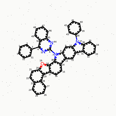 c1ccc(-c2nc(-n3c4cc5c(cc4c4ccc6c(oc7ccc8ccccc8c76)c43)c3ccccc3n5-c3ccccc3)nc3ccccc23)cc1